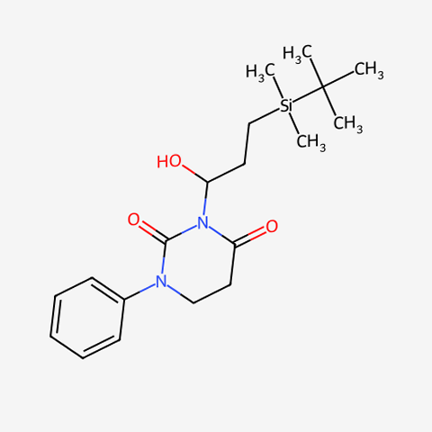 CC(C)(C)[Si](C)(C)CCC(O)N1C(=O)CCN(c2ccccc2)C1=O